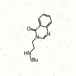 CC(C)(C)NCCn1cnc2ccccc2c1=O